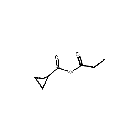 CCC(=O)OC(=O)C1CC1